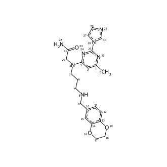 Cc1cc(N(CCCNCc2ccc3c(c2)OCCO3)CC(N)=O)nc(-n2ccnc2)n1